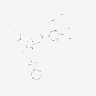 COCCOC(=O)n1nc(NC(=O)c2ccc(N3CCN(C)CC3)cc2NC(C)COC)c2c1NC[C@H](S(=O)(=O)c1cc(F)cc(F)c1)C2